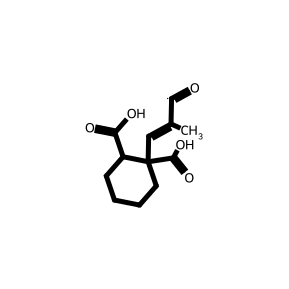 CC([C]=O)=CC1(C(=O)O)CCCCC1C(=O)O